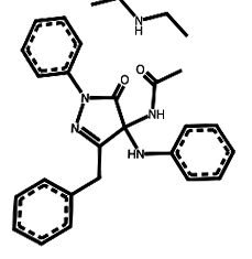 CC(=O)NC1(Nc2ccccc2)C(=O)N(c2ccccc2)N=C1Cc1ccccc1.CCNCC